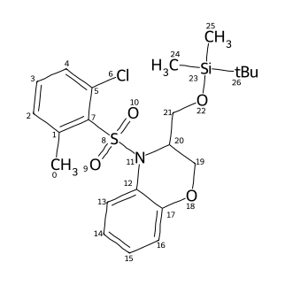 Cc1cccc(Cl)c1S(=O)(=O)N1c2ccccc2OCC1CO[Si](C)(C)C(C)(C)C